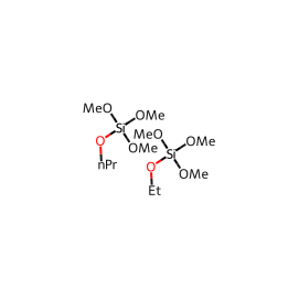 CCCO[Si](OC)(OC)OC.CCO[Si](OC)(OC)OC